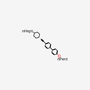 CCCCCCC[C@H]1CC[C@H](C#Cc2ccc(-c3ccc(OCCCCC)cc3)cc2)CC1